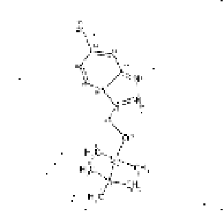 CC(C)(C)[Si](C)(C)OCc1nnc2cc(Br)ccn12